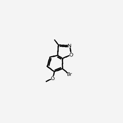 COc1ccc2c(C)noc2c1Br